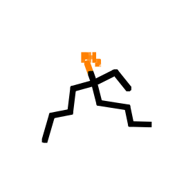 CCCCC(P)(CC)CCCC